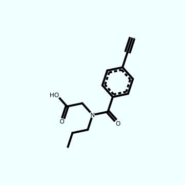 [C]#Cc1ccc(C(=O)N(CCC)CC(=O)O)cc1